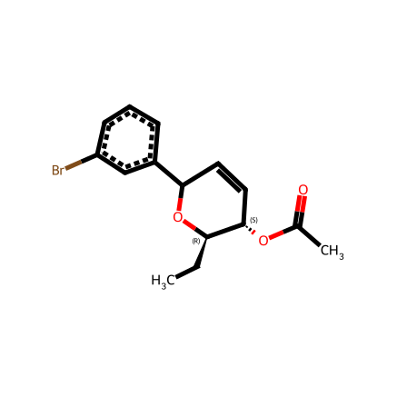 CC[C@H]1OC(c2cccc(Br)c2)C=C[C@@H]1OC(C)=O